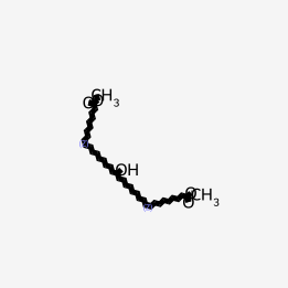 COC(=O)CCCCCCC/C=C\CCCCCCCCC(O)CCCCCCCC/C=C\CCCCCCCC(=O)OC